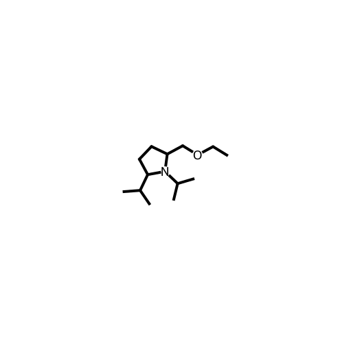 CCOCC1CCC(C(C)C)N1C(C)C